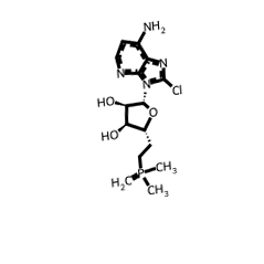 C=P(C)(C)CC[C@H]1O[C@@H](n2c(Cl)nc3c(N)ccnc32)[C@H](O)[C@@H]1O